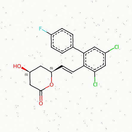 O=C1C[C@@H](O)C[C@@H](C=Cc2c(Cl)cc(Cl)cc2-c2ccc(F)cc2)O1